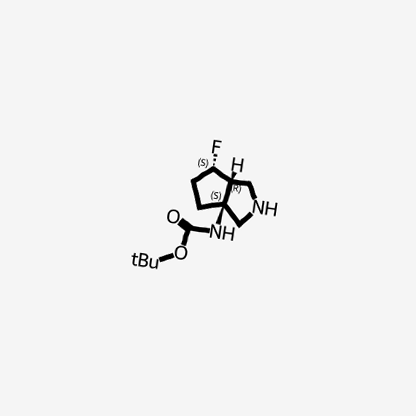 CC(C)(C)OC(=O)N[C@@]12CC[C@H](F)[C@@H]1CNC2